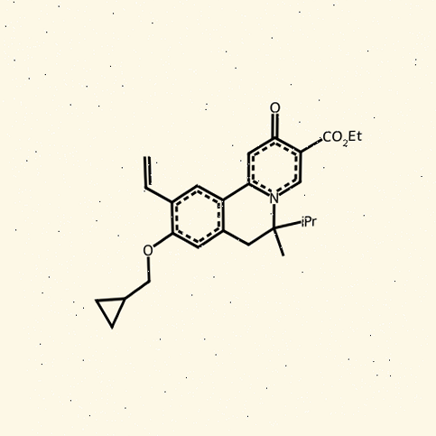 C=Cc1cc2c(cc1OCC1CC1)CC(C)(C(C)C)n1cc(C(=O)OCC)c(=O)cc1-2